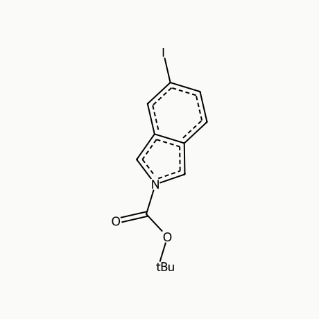 CC(C)(C)OC(=O)n1cc2ccc(I)cc2c1